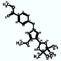 COC(=O)c1ccc(Cn2cc(B3OC(C)(C)C(C)(C)O3)c(OC)n2)cc1